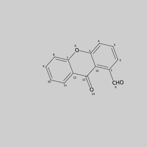 O=Cc1cccc2oc3ccccc3c(=O)c12